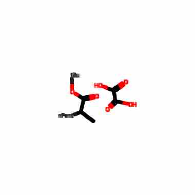 CCCCCC(C)C(=O)OC(C)(C)C.O=C(O)C(=O)O